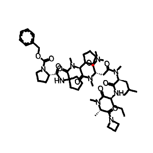 CC[C@H](C)[C@H](NC(=O)[C@H](CC(C)C)N(C)C(=O)C[C@@H](C(=O)N(C)C)N(C)C(=O)[C@H](C1CCCC1)N(C)C(=O)C1(NC(=O)[C@@H]2CCCN2C(=O)OCc2ccccc2)CCCC1)C(=O)N(C)[C@@H](C)C(=O)N1CCC1